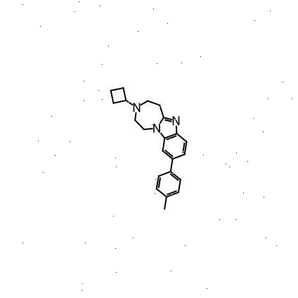 Cc1ccc(-c2ccc3nc4n(c3c2)CCN(C2CCC2)CC4)cc1